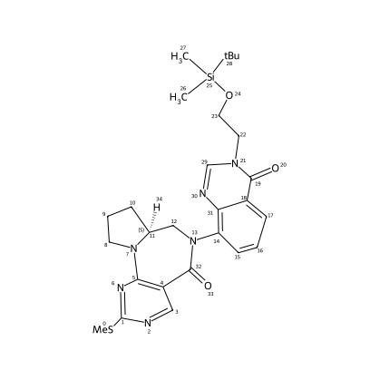 CSc1ncc2c(n1)N1CCC[C@H]1CN(c1cccc3c(=O)n(CCO[Si](C)(C)C(C)(C)C)cnc13)C2=O